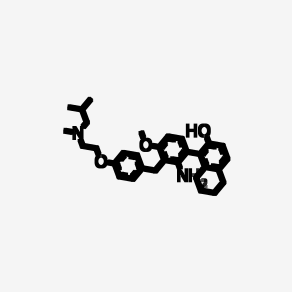 COc1ccc(-c2c(O)ccc3c2CCCC3)c(N)c1Cc1ccc(OCCN(C)CC(C)C)cc1